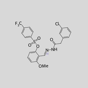 COc1cccc(OS(=O)(=O)c2ccc(C(F)(F)F)cc2)c1/C=N/NC(=O)Cc1cccc(Cl)c1